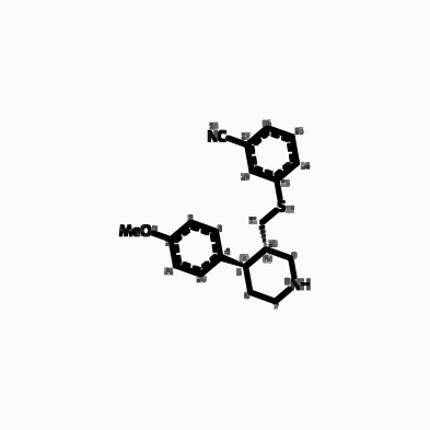 COc1ccc([C@@H]2CCNC[C@H]2CSc2cccc(C#N)c2)cc1